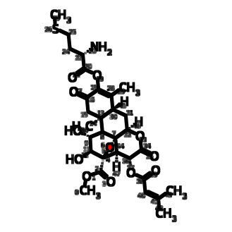 COC(=O)[C@@]12OC[C@]34C([C@@H](O)[C@@H]1O)[C@@]1(C)CC(=O)C(OC(=O)[C@@H](N)CCSC)=C(C)[C@@H]1C[C@H]3OC(=O)[C@H](OC(=O)C=C(C)C)[C@@H]24